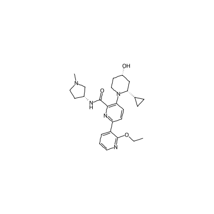 CCOc1ncccc1-c1ccc(N2CC[C@H](O)C[C@@H]2C2CC2)c(C(=O)N[C@@H]2CCN(C)C2)n1